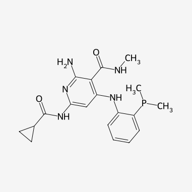 CNC(=O)c1c(Nc2ccccc2P(C)C)cc(NC(=O)C2CC2)nc1N